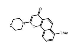 COc1cccc2c1ccc1c(=O)cc(N3CCOCC3)oc12